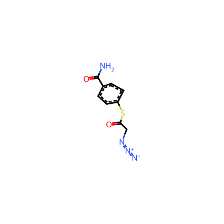 [N-]=[N+]=NCC(=O)Sc1ccc(C(N)=O)cc1